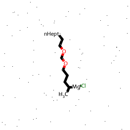 CCCCCCCCCOCOCCC[CH](C)[Mg][Cl]